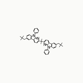 CC(C)(C)Cc1ccc2c(c1)c1ccc(C(C)(C)c3ccc4c5cc(CC(C)(C)C)ccc5n(-c5ccccc5)c4n3)nc1n2-c1ccccc1